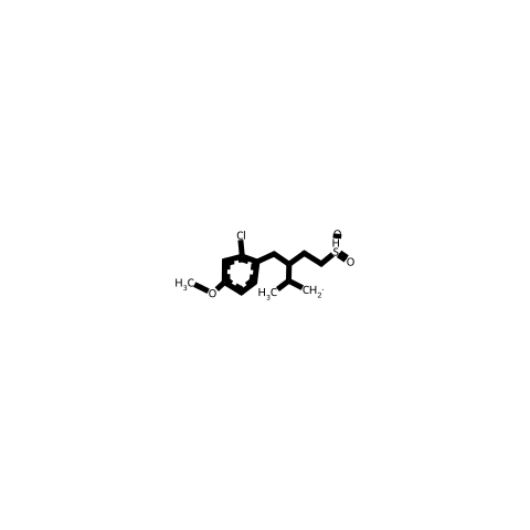 [CH2]C(C)C(CC[SH](=O)=O)Cc1ccc(OC)cc1Cl